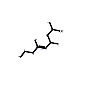 CCC/C(C)=C/C(C)CC(C)O